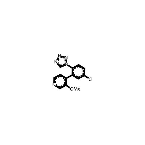 COc1cnccc1-c1cc(Cl)ccc1-n1cnnn1